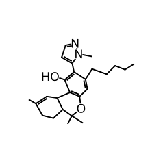 CCCCCc1cc2c(c(O)c1-c1ccnn1C)C1C=C(C)CCC1C(C)(C)O2